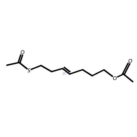 CC(=O)OCCC/C=C/CCSC(C)=O